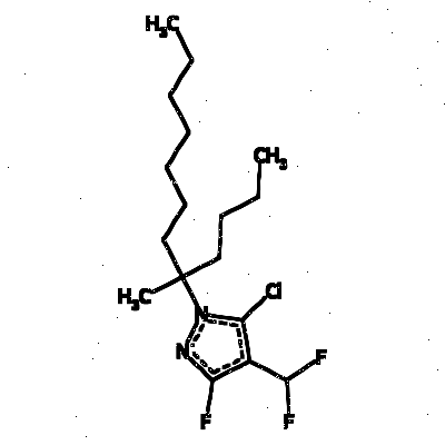 CCCCCCCC(C)(CCCC)n1nc(F)c(C(F)F)c1Cl